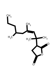 CCCC(C)CC(C)=CC(C)(C)C1CC(=O)OC1=O